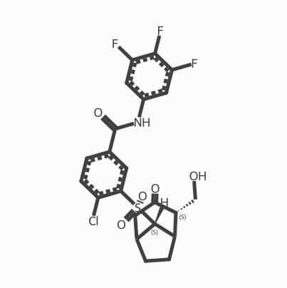 O=C(Nc1cc(F)c(F)c(F)c1)c1ccc(Cl)c(S(=O)(=O)[C@H]2C3CCC2[C@@H](CO)C(=O)C3)c1